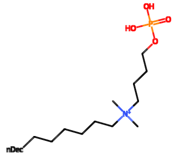 CCCCCCCCCCCCCCCC[N+](C)(C)CCCCOP(=O)(O)O